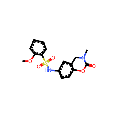 COc1ccccc1S(=O)(=O)Nc1ccc2c(c1)CN(C)C(=O)O2